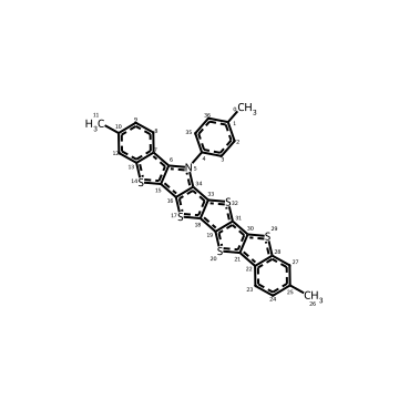 Cc1ccc(-n2c3c4ccc(C)cc4sc3c3sc4c5sc6c7ccc(C)cc7sc6c5sc4c32)cc1